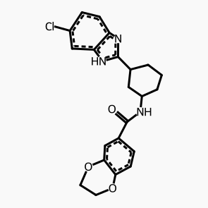 O=C(NC1CCCC(c2nc3ccc(Cl)cc3[nH]2)C1)c1ccc2c(c1)OCCO2